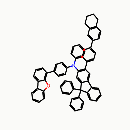 c1ccc(N(c2ccc(-c3cccc4c3oc3ccccc34)cc2)c2cc3c(cc2-c2ccc(-c4ccc5c(c4)CCCC5)cc2)-c2ccccc2C3(c2ccccc2)c2ccccc2)cc1